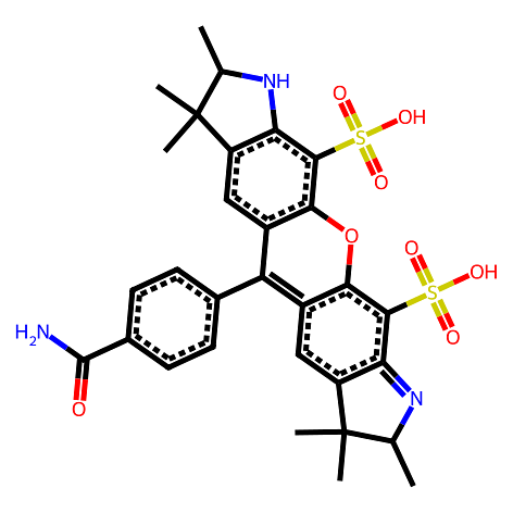 CC1N=c2c(cc3c(c2S(=O)(=O)O)Oc2c(cc4c(c2S(=O)(=O)O)NC(C)C4(C)C)C=3c2ccc(C(N)=O)cc2)C1(C)C